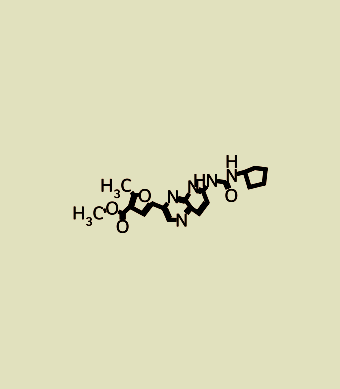 COC(=O)c1cc(-c2cnc3ccc(NC(=O)NC4CCCC4)nc3n2)oc1C